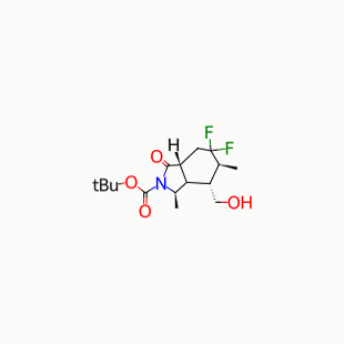 C[C@@H]1C2[C@@H](CO)[C@H](C)C(F)(F)C[C@H]2C(=O)N1C(=O)OC(C)(C)C